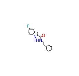 O=C(NCCc1ccccc1)c1cc2cc(F)ccc2[nH]1